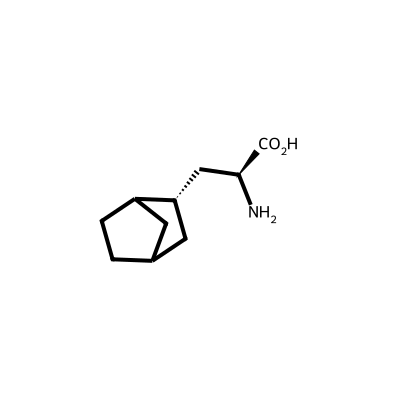 N[C@@H](C[C@@H]1CC2CCC1C2)C(=O)O